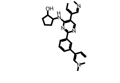 C=C/C(=C\N(C)C)c1cccc(-c2ncc(C(/C=N\C)=C/C)c(NC3CCCC3O)n2)c1